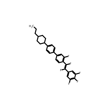 CCCC1CCC(c2ccc(-c3ccc(C(F)=C(F)c4cc(F)c(F)c(F)c4)c(F)c3)cc2)CC1